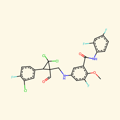 COc1c(F)cc(NCC2(C=O)C(c3ccc(F)c(Cl)c3)C2(Cl)Cl)cc1C(=O)Nc1ccc(F)cc1F